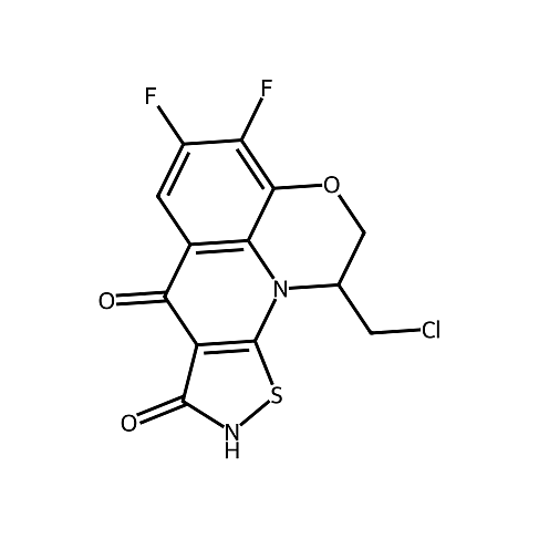 O=c1[nH]sc2c1c(=O)c1cc(F)c(F)c3c1n2C(CCl)CO3